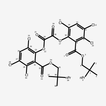 CCCC(C)(C)COC(=O)c1c(Cl)c(Cl)cc(Cl)c1OC(=O)C(=O)Oc1c(Cl)cc(Cl)c(Cl)c1C(=O)OCC(C)(C)CCC